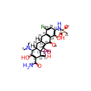 CN(C)[C@@H]1C(O)=C(C(N)=O)C2=CP[C@@]23C(O)=C2C(=O)c4c(O)c(NS(C)(=O)=O)cc(F)c4C[C@H]2C[C@@H]13